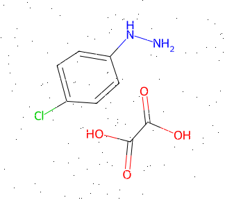 NNc1ccc(Cl)cc1.O=C(O)C(=O)O